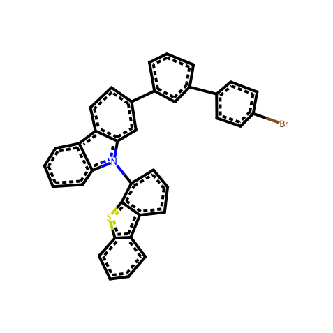 Brc1ccc(-c2cccc(-c3ccc4c5ccccc5n(-c5cccc6c5sc5ccccc56)c4c3)c2)cc1